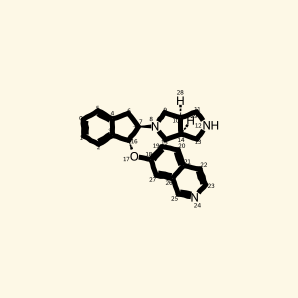 c1ccc2c(c1)C[C@@H](N1C[C@H]3CNC[C@H]3C1)[C@@H]2Oc1ccc2ccncc2c1